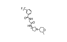 CC1CC(N2CC[C@@H](NC(=O)CNC(=O)c3cccc(C(F)(F)F)c3)C2)CCO1